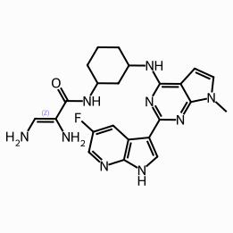 Cn1ccc2c(NC3CCCC(NC(=O)/C(N)=C/N)C3)nc(-c3c[nH]c4ncc(F)cc34)nc21